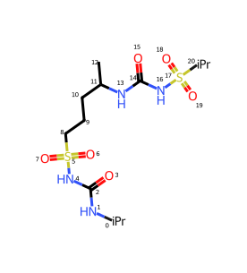 CC(C)NC(=O)NS(=O)(=O)CCCC(C)NC(=O)NS(=O)(=O)C(C)C